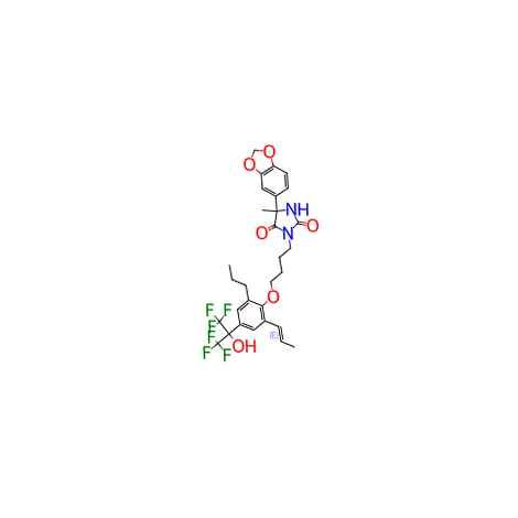 C/C=C/c1cc(C(O)(C(F)(F)F)C(F)(F)F)cc(CCC)c1OCCCCN1C(=O)NC(C)(c2ccc3c(c2)OCO3)C1=O